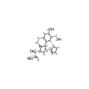 CC(C)Cc1cc2c(cc1O)CCn1c(C(=O)N(C)C(C)(C)C)cc(-c3cccs3)c1-2